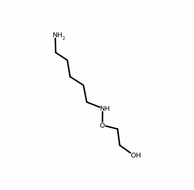 NCCCCCNOCCO